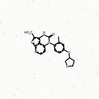 Cc1cc(OC2CCOC2)ccc1N1C(=O)Nc2c(C(=O)O)sc3nccc1c23